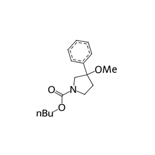 CCCCOC(=O)N1CCC(OC)(c2ccccc2)C1